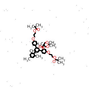 C=C(C)C(=O)OCCCOc1ccc(-c2cc(-c3c(C)cc(C)cc3C)cc(-c3ccc(OCCCOC(=O)C(=C)C)cc3)c2OC(=O)C2(C)COC(C)(C)OC2)cc1